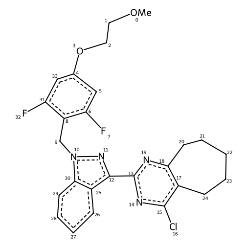 COCCOc1cc(F)c(Cn2nc(-c3nc(Cl)c4c(n3)CCCCC4)c3ccccc32)c(F)c1